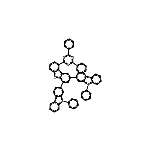 c1ccc(-c2nc(-c3ccccc3)nc(-c3cccc4oc5c(-c6ccc7c8ccccc8n(-c8ccccc8)c7c6)cc(-c6ccc7c8ccccc8n(-c8ccccc8)c7c6)cc5c34)n2)cc1